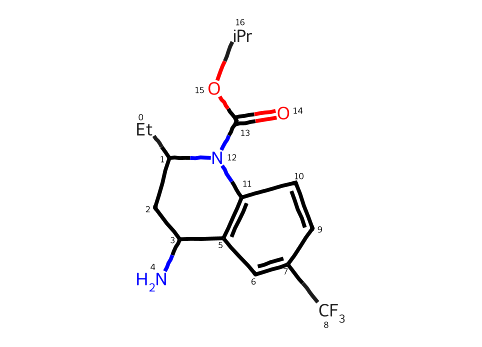 CCC1CC(N)c2cc(C(F)(F)F)ccc2N1C(=O)OC(C)C